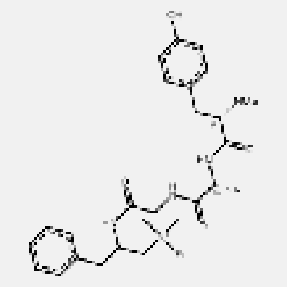 CC[N+](C)(C)CC(Cc1ccccc1)NC(=O)CNC(=O)[C@@H](C)NC(=O)[C@H](Cc1ccc(O)cc1)NC